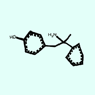 CC(N)(Cc1ccc(O)cc1)c1ccccc1